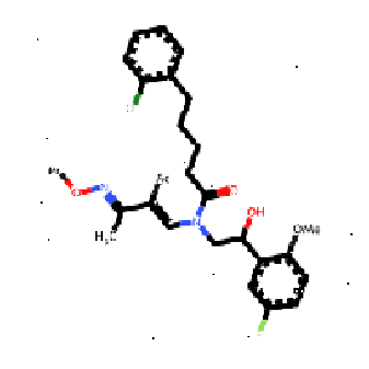 COc1ccc(F)cc1C(O)CN(/C=C(C(C)=O)/C(C)=N/OC(C)C)C(=O)CCCCc1ccccc1Cl